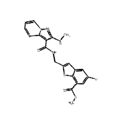 CNc1nn2cccnc2c1C(=O)NCc1cc2cc(Cl)cc(C(=O)OC)c2o1